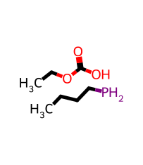 CCCCP.CCOC(=O)O